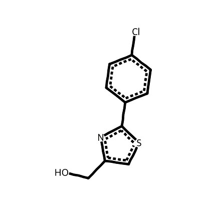 OCc1csc(-c2ccc(Cl)cc2)n1